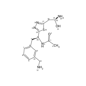 CC(=O)N[C@@H](Cc1cccc(CN)c1)c1nnc(C[C@@H](N)O)s1